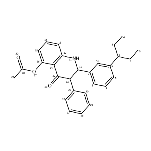 CCC(CC)c1cccc(C2Nc3cccc(OC(C)=O)c3C(=O)C2c2ccccc2)c1